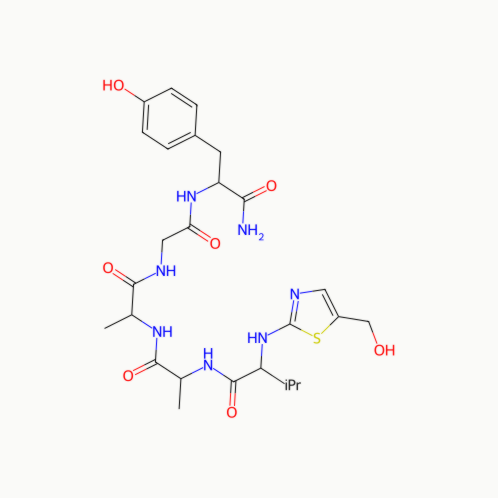 CC(NC(=O)C(C)NC(=O)C(Nc1ncc(CO)s1)C(C)C)C(=O)NCC(=O)NC(Cc1ccc(O)cc1)C(N)=O